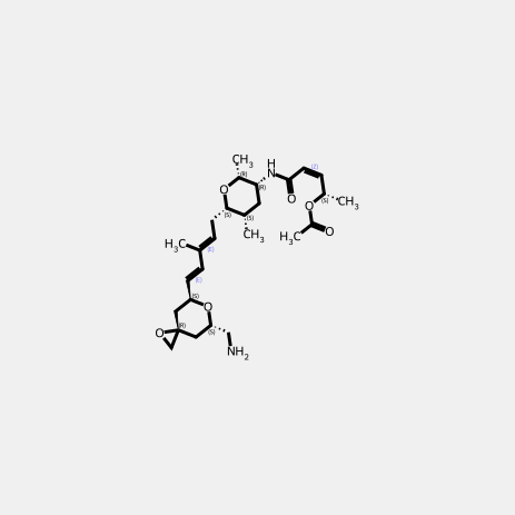 CC(=O)O[C@@H](C)/C=C\C(=O)N[C@@H]1C[C@H](C)[C@H](C/C=C(C)/C=C/[C@@H]2C[C@]3(CO3)C[C@@H](CN)O2)O[C@@H]1C